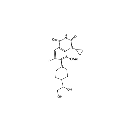 COc1c(N2CCC(C(O)CO)CC2)c(F)cc2c(=O)[nH]c(=O)n(C3CC3)c12